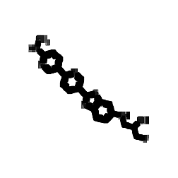 CNc1ccc(-c2ccc(-c3nc4ccc(NCC(O)CF)cc4s3)cn2)cn1